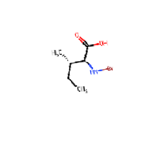 CC[C@H](C)[C@H](NBr)C(=O)O